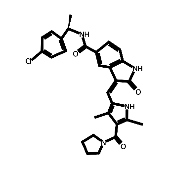 Cc1[nH]c(C=C2C(=O)Nc3ccc(C(=O)N[C@H](C)c4ccc(Cl)cc4)cc32)c(C)c1C(=O)N1CCCC1